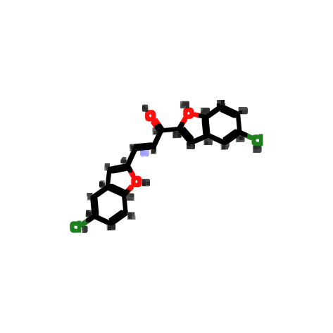 O=C(/C=C/c1cc2cc(Cl)ccc2o1)c1cc2cc(Cl)ccc2o1